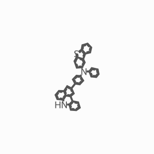 c1ccc(N(c2ccc(-c3cc4c5c(cccc5c3)Nc3ccccc3-4)cc2)c2ccc3sc4ccccc4c3c2)cc1